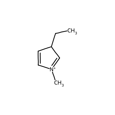 CCC1C=C[N+](C)=C1